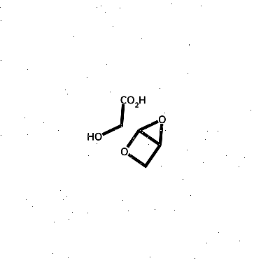 C1OC2OC12.O=C(O)CO